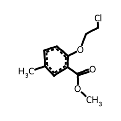 COC(=O)c1cc(C)ccc1OCCCl